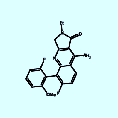 CCN1Cc2nc3c(-c4c(F)cccc4OC)c(F)ccc3c(N)c2C1=O